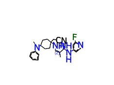 C/C(=C/NC1(CC#N)CCC(N(C)c2ccccc2)CC1)C(=N)Nc1ccnc(F)c1